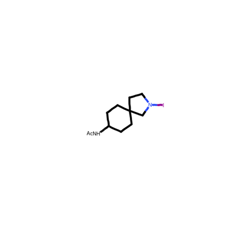 CC(=O)NC1CCC2(CC1)CCN(I)C2